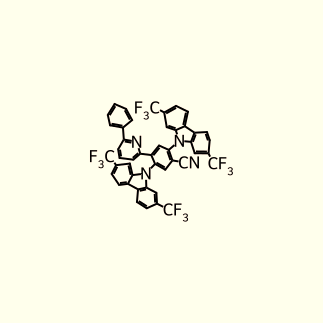 N#Cc1cc(-n2c3cc(C(F)(F)F)ccc3c3ccc(C(F)(F)F)cc32)c(-c2cccc(-c3ccccc3)n2)cc1-n1c2cc(C(F)(F)F)ccc2c2ccc(C(F)(F)F)cc21